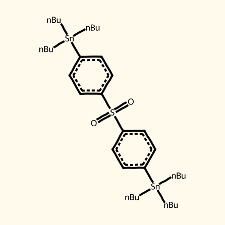 CCC[CH2][Sn]([CH2]CCC)([CH2]CCC)[c]1ccc(S(=O)(=O)c2cc[c]([Sn]([CH2]CCC)([CH2]CCC)[CH2]CCC)cc2)cc1